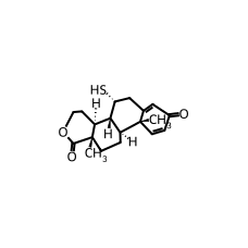 C[C@]12C=CC(=O)C=C1C[C@@H](S)[C@@H]1[C@@H]2CC[C@]2(C)C(=O)OCC[C@@H]12